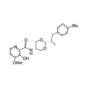 COc1ccnc(C(=O)N[C@H]2CO[C@@H](C(C)Cc3ccc(C(C)(C)C)cc3)OC2)c1O